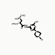 CCCCC[C@H](CN(O)C=O)C(=O)NNc1nc(CCC)nc(N2CCN(CC)CC2)n1